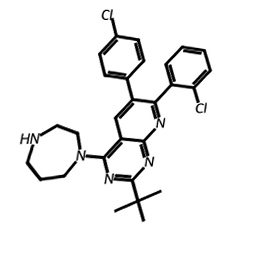 CC(C)(C)c1nc(N2CCCNCC2)c2cc(-c3ccc(Cl)cc3)c(-c3ccccc3Cl)nc2n1